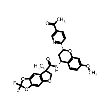 COc1ccc2c(c1)O[C@@H](c1ccc(C(C)=O)cn1)C[C@H]2NC(=O)[C@@]1(C)COc2cc3c(cc21)OC(F)(F)O3